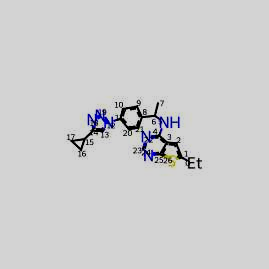 CCc1cc2c(NC(C)c3ccc(-n4cc(C5CC5)nn4)cc3)ncnc2s1